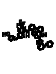 O=C(Nc1cccc(-c2cccc(Nc3nc(C(F)(F)F)nc4cc(CN5CC[C@@H](O)C5)cnc34)c2Cl)c1Cl)c1cc2n(n1)CCC[C@H]2N1CCCCC1